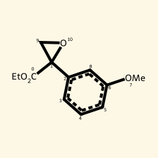 CCOC(=O)C1(c2cccc(OC)c2)CO1